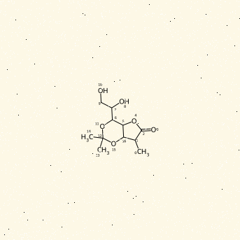 CC1C(=O)OC2C(C(O)CO)OC(C)(C)OC12